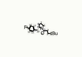 CC(C)(C)CCC(=O)N1CCC[C@H]1Cc1ccc(F)cc1